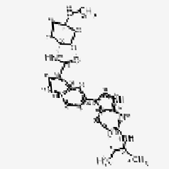 CCC(C)Nc1ncc2c(-c3ccn4ncc(C(=O)N[C@H]5CC[C@H](OC)CC5)c4c3)c[nH]c2n1